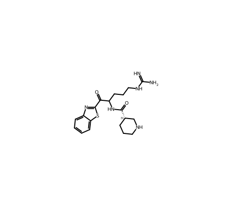 N=C(N)NCCCC(NC(=O)[C@H]1CCCNC1)C(=O)c1nc2ccccc2s1